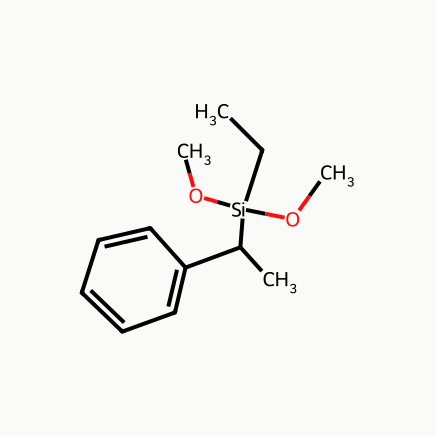 CC[Si](OC)(OC)C(C)c1ccccc1